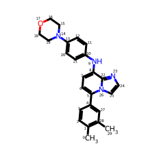 Cc1ccc(-c2ccc(Nc3ccc(N4CCOCC4)cc3)c3nccn23)cc1C